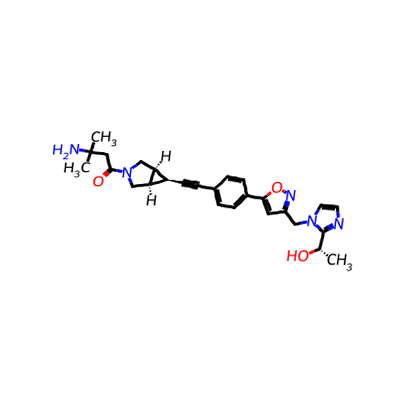 C[C@H](O)c1nccn1Cc1cc(-c2ccc(C#C[C@H]3[C@H]4CN(C(=O)CC(C)(C)N)C[C@@H]34)cc2)on1